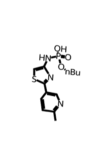 CCCCOP(=O)(O)Nc1csc(-c2ccc(C)nc2)n1